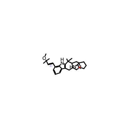 COC(C)(C)/C=C/c1cccc2c3c([nH]c12)C(C)(C)C1CC24CCCN2CC1(C3)NC4=O